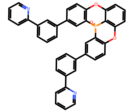 O=P12c3cc(-c4cccc(-c5ccccn5)c4)ccc3Oc3cccc(c31)Oc1ccc(-c3cccc(-c4ccccn4)c3)cc12